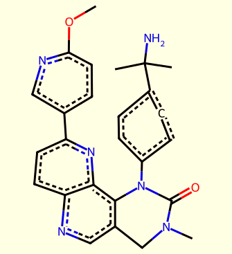 COc1ccc(-c2ccc3ncc4c(c3n2)N(c2ccc(C(C)(C)N)cc2)C(=O)N(C)C4)cn1